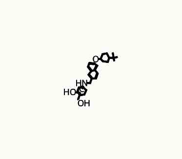 CC(C)(C)C1CCC(Oc2ccc3cc(CNC45CCC(CO)(CC4)C(O)C5)ccc3c2)CC1